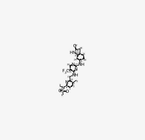 Cc1ccc(N(C)S(C)(=O)=O)nc1CNc1nc(Nc2ccc3c(c2)NC(=O)C3)ncc1C(F)(F)F